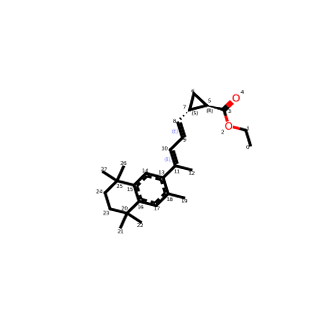 CCOC(=O)[C@@H]1C[C@H]1/C=C/C=C(\C)c1cc2c(cc1C)C(C)(C)CCC2(C)C